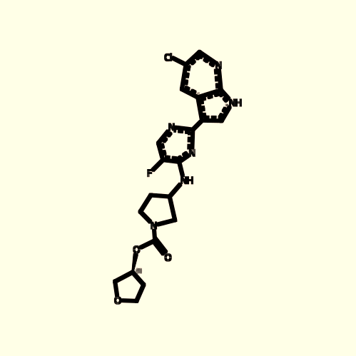 O=C(O[C@H]1CCOC1)N1CCC(Nc2nc(-c3c[nH]c4ncc(Cl)cc34)ncc2F)C1